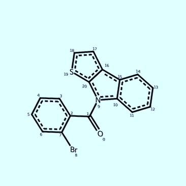 O=C(c1ccccc1Br)n1c2ccccc2c2ccsc21